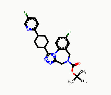 CC(C)(C)OC(=O)N1Cc2cc(Cl)ccc2-n2c(nnc2C2CCC(c3ccc(F)cn3)CC2)C1